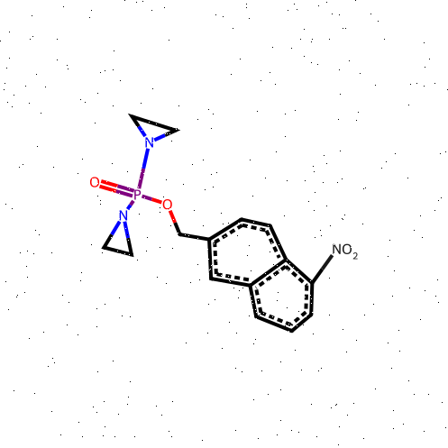 O=[N+]([O-])c1cccc2cc(COP(=O)(N3CC3)N3CC3)ccc12